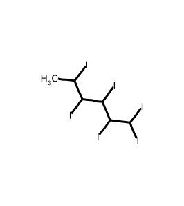 CC(I)C(I)C(I)C(I)C(I)I